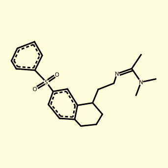 CC(=NCCC1CCCc2ccc(S(=O)(=O)c3ccccc3)cc21)N(C)C